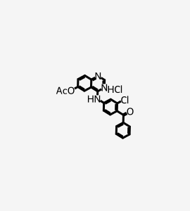 CC(=O)Oc1ccc2ncnc(Nc3ccc(C(=O)c4ccccc4)c(Cl)c3)c2c1.Cl